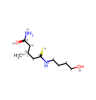 C[C@@H]([CH]C(=S)NCCCCO)CC(N)=O